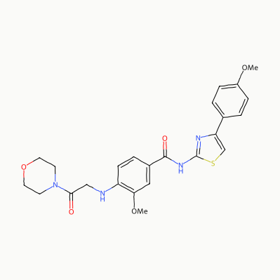 COc1ccc(-c2csc(NC(=O)c3ccc(NCC(=O)N4CCOCC4)c(OC)c3)n2)cc1